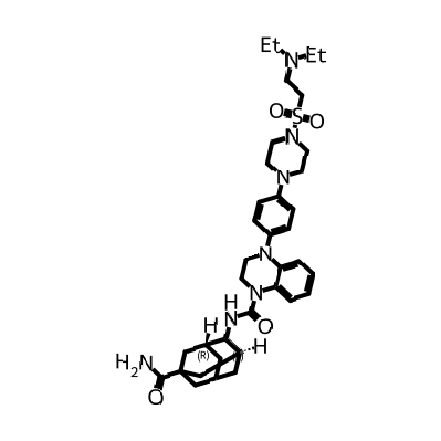 CCN(CC)CCS(=O)(=O)N1CCN(c2ccc(N3CCN(C(=O)NC4[C@@H]5CC6C[C@H]4CC(C(N)=O)(C6)C5)c4ccccc43)cc2)CC1